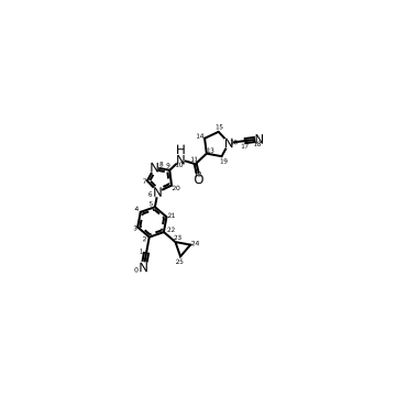 N#Cc1ccc(-n2cnc(NC(=O)C3CCN(C#N)C3)c2)cc1C1CC1